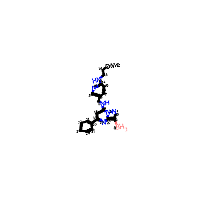 Bc1cnn2c(NCc3ccc(NCCOC)nc3)cc(-c3ccccc3)nc12